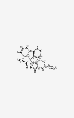 NC(=O)C(c1ccccc1)(c1ccccc1)n1nnc2cc(C(=O)O)ccc21